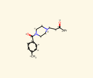 Cc1ccc(C(=O)N2CCN(CCC(=O)C(C)C)CC2)cc1